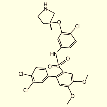 COc1cc(-c2ccc(Cl)c(Cl)c2)c(S(=O)(=O)Nc2ccc(Cl)c(O[C@]3(C)CCNC3)c2)cc1OC